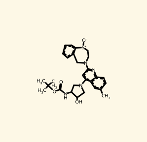 Cc1ccc2nc(N3CC[S+]([O-])c4ccccc4C3)cc(N3CC(O)C(NC(=O)OC(C)(C)C)C3)c2c1